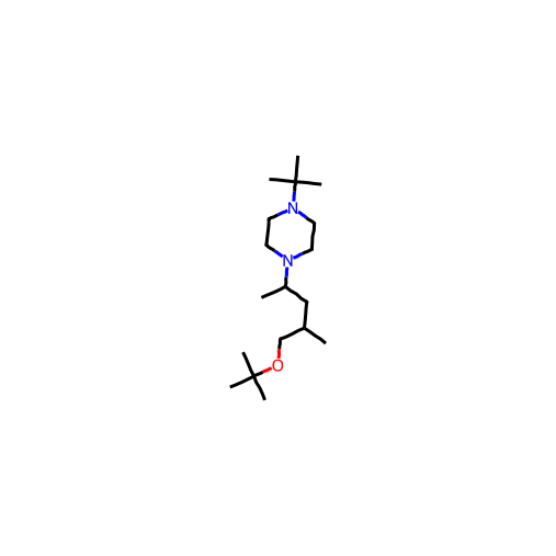 CC(COC(C)(C)C)CC(C)N1CCN(C(C)(C)C)CC1